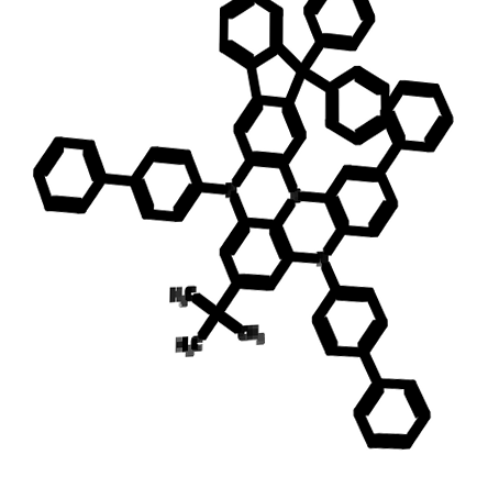 CC(C)(C)c1cc2c3c(c1)N(c1ccc(-c4ccccc4)cc1)c1cc4c(cc1B3c1cc(-c3ccccc3)ccc1N2c1ccc(-c2ccccc2)cc1)C(c1ccccc1)(c1ccccc1)c1ccccc1-4